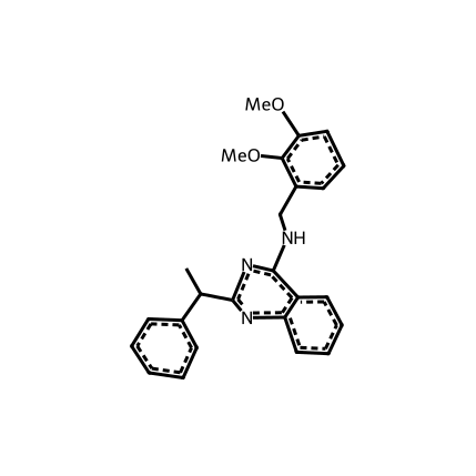 COc1cccc(CNc2nc(C(C)c3ccccc3)nc3ccccc23)c1OC